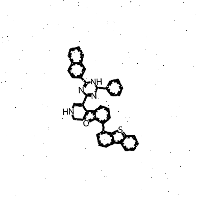 C1=C(C2=NC(c3ccccc3)NC(c3ccc4ccccc4c3)=N2)c2c(oc3c(-c4cccc5c4sc4ccccc45)cccc23)CN1